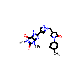 CCCn1c(=O)c2[nH]c(-c3cnn(CC4CC(=O)N(c5ccc(C)cc5)C4)c3)nc2n(CCC)c1=O